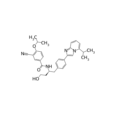 CC(C)Oc1ccc(C(=O)N[C@H](CCO)Cc2ccc(-c3cn4c(C(C)C)cccc4n3)cc2)cc1C#N